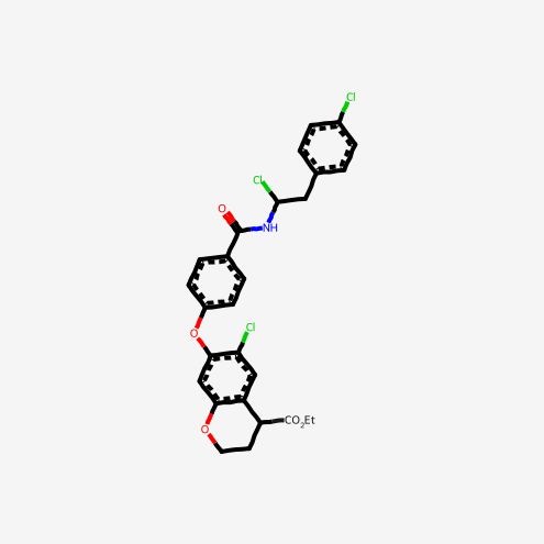 CCOC(=O)C1CCOc2cc(Oc3ccc(C(=O)NC(Cl)Cc4ccc(Cl)cc4)cc3)c(Cl)cc21